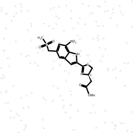 COC(=O)C[C@@H]1CSC(c2cc3cc(CS(C)(=O)=O)cc([N+](=O)[O-])c3[nH]2)=N1